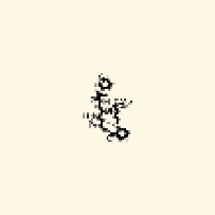 COCCCCOc1ccccc1C(=O)NC[C@@H](C[C@H](N)[C@@H](O)CNC(=O)C(C)(C)[C@H]1CCCN(C)C1)C(C)C.Cl.Cl